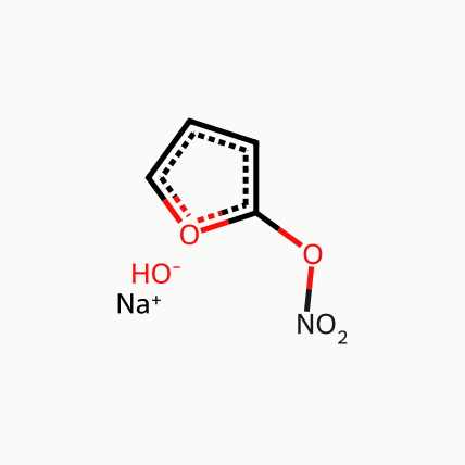 O=[N+]([O-])Oc1ccco1.[Na+].[OH-]